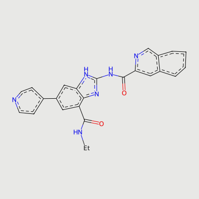 CCNC(=O)c1cc(-c2ccncc2)cc2[nH]c(NC(=O)c3cc4ccccc4cn3)nc12